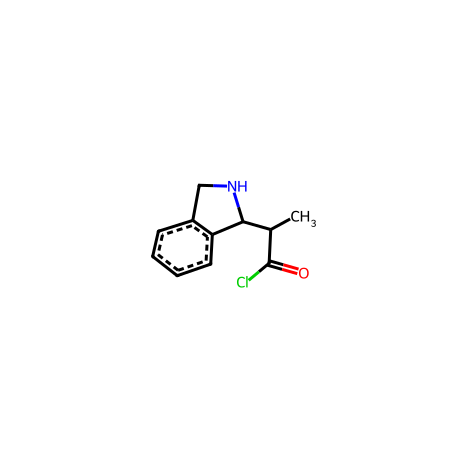 CC(C(=O)Cl)C1NCc2ccccc21